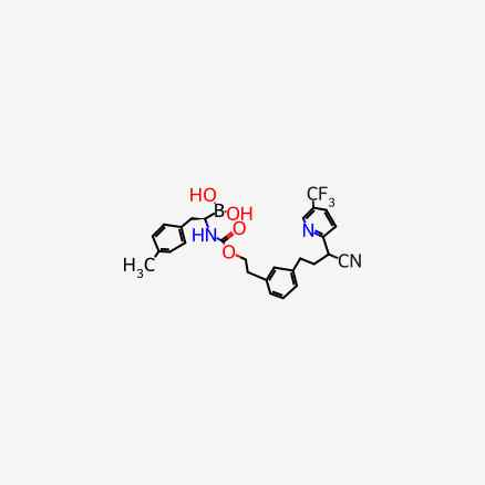 Cc1ccc(C[C@H](NC(=O)OCCc2cccc(CCC(C#N)c3ccc(C(F)(F)F)cn3)c2)B(O)O)cc1